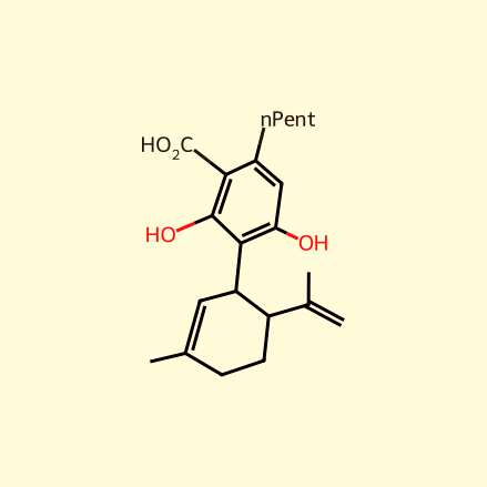 C=C(C)C1CCC(C)=CC1c1c(O)cc(CCCCC)c(C(=O)O)c1O